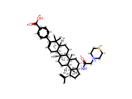 C=C(C)[C@@H]1CC[C@]2(NC(=O)CN3CCSCC3)CC[C@]3(C)[C@H](CC[C@@H]4[C@@]5(C)CC=C(c6ccc(C(=O)O)cc6)C(C)(C)[C@@H]5CC[C@]43C)[C@@H]12